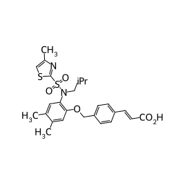 Cc1csc(S(=O)(=O)N(CC(C)C)c2cc(C)c(C)cc2OCc2ccc(C=CC(=O)O)cc2)n1